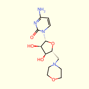 Nc1ccn([C@@H]2O[C@H](CN3CCOCC3)[C@@H](O)[C@H]2O)c(=O)n1